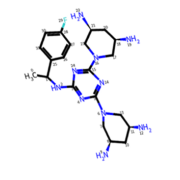 CC(Nc1nc(N2C[C@H](N)C[C@H](N)C2)nc(N2C[C@H](N)C[C@H](N)C2)n1)c1ccc(F)cc1